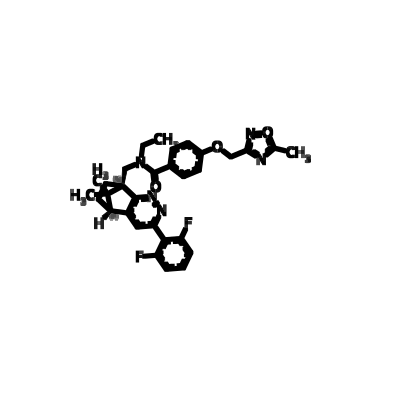 CCN(C[C@@]12CC[C@@H](c3cc(-c4c(F)cccc4F)nnc31)C2(C)C)C(=O)c1ccc(OCc2noc(C)n2)cc1